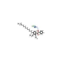 CCCCCCCCCCCCc1ccc(C(=O)C(=O)c2ccccc2)c(C)c1C.Cl.N